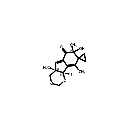 CC1=C2C(=C[C@@]3(C)COCO[C@@H]23)C(=O)[C@](C)(O)C12CC2